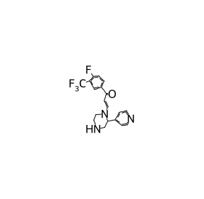 O=C(C=CN1CCNCC1c1ccncc1)c1ccc(F)c(C(F)(F)F)c1